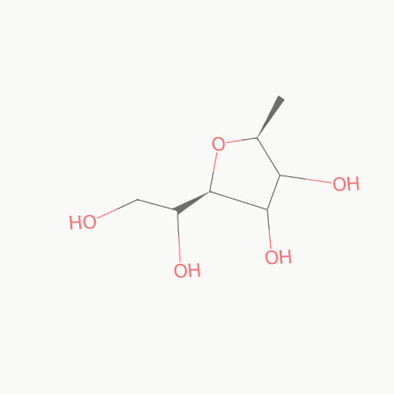 C[C@@H]1O[C@H](C(O)CO)C(O)C1O